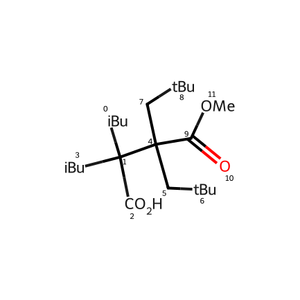 CCC(C)C(C(=O)O)(C(C)CC)C(CC(C)(C)C)(CC(C)(C)C)C(=O)OC